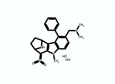 CN(C)Cc1ccc2c(c1-c1ccccc1)c1c(n2C)C(=S(=O)=O)C2CCC1N2.Cl.Cl